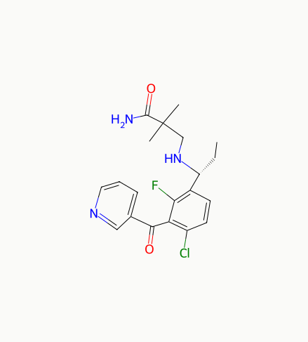 CC[C@@H](NCC(C)(C)C(N)=O)c1ccc(Cl)c(C(=O)c2cccnc2)c1F